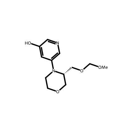 COCOC[C@@H]1COCCN1c1cncc(O)c1